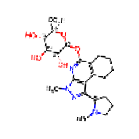 CCCN1CCC[C@@H]1c1nn(C)c2nc(O[C@@H]3O[C@H](C(=O)O)[C@@H](O)[C@H](O)[C@H]3O)c3c(c12)CCCC3